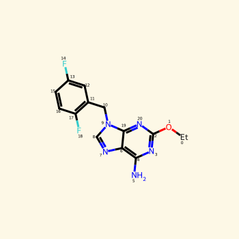 CCOc1nc(N)c2ncn(Cc3cc(F)ccc3F)c2n1